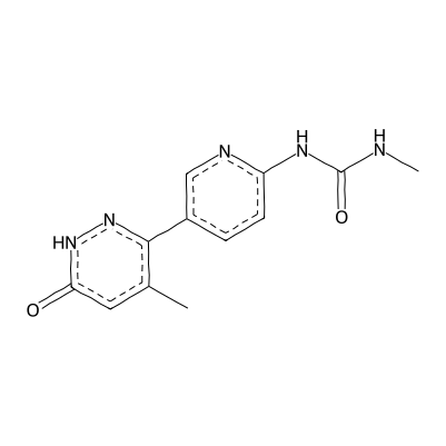 CNC(=O)Nc1ccc(-c2n[nH]c(=O)cc2C)cn1